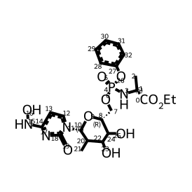 CCOC(=O)[C@H](C)NP(=O)(OC[C@H]1O[C@@H](n2ccc(NO)nc2=O)C(C)C(O)C1O)Oc1ccccc1